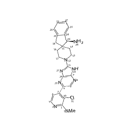 CNc1nccc(-c2cnc3[nH]c(N4CCC5(CC4)Cc4ccccc4[C@H]5N)nc3n2)c1Cl